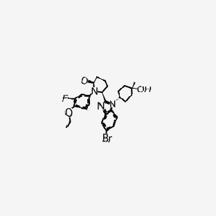 CCOc1ccc(N2C(=O)CCC[C@H]2c2nc3cc(Br)ccc3n2[C@H]2CC[C@@](C)(O)CC2)cc1F